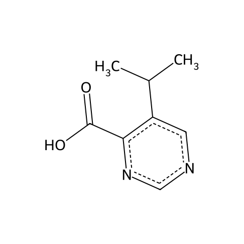 CC(C)c1cncnc1C(=O)O